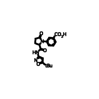 CC(C)(C)c1cc(NC(=O)C2CCC(=O)N2c2cccc(C(=O)O)c2)no1